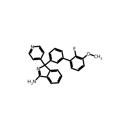 COc1cccc(-c2cccc(C3(c4ccncc4)N=C(N)c4ccccc43)c2)c1F